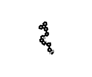 c1cc(-c2ccc3nccnc3c2)cc(-c2ccc3ccc4ccc(-c5cccc(-c6ccc7c8ccccc8c8ccccc8c7c6)c5)nc4c3n2)c1